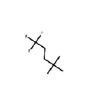 CC(C)(C)CCC(F)(F)F